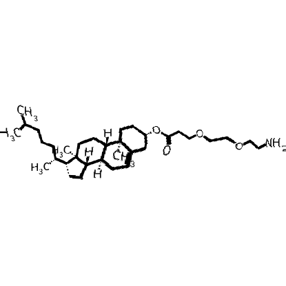 CC(C)CCC[C@@H](C)[C@H]1CC[C@H]2[C@@H]3CC=C4C[C@@H](OC(=O)CCOCCOCCN)CC[C@]4(C)[C@H]3CC[C@]12C